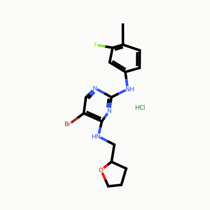 Cc1ccc(Nc2ncc(Br)c(NCC3CCCO3)n2)cc1F.Cl